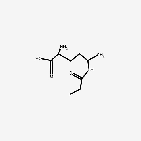 CC(CC[C@H](N)C(=O)O)NC(=O)CI